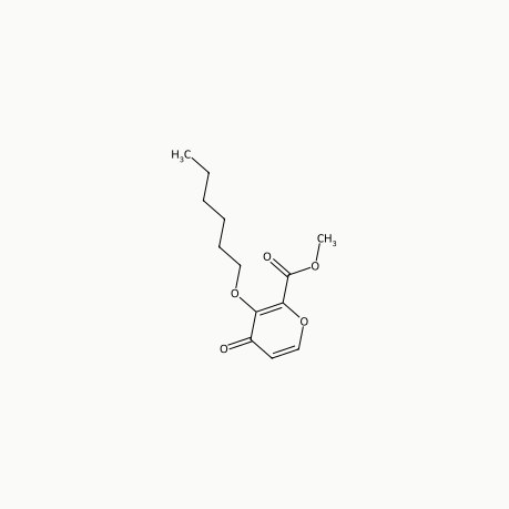 CCCCCCOc1c(C(=O)OC)occc1=O